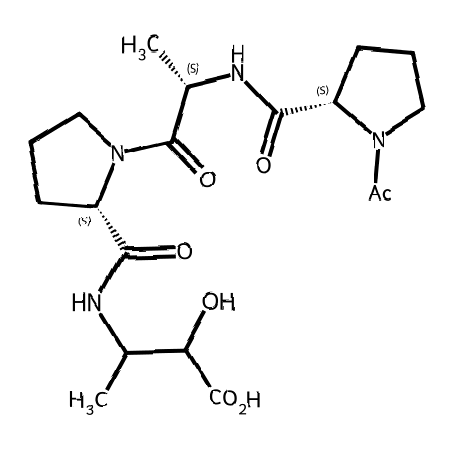 CC(=O)N1CCC[C@H]1C(=O)N[C@@H](C)C(=O)N1CCC[C@H]1C(=O)NC(C)C(O)C(=O)O